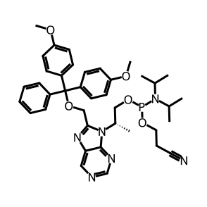 COc1ccc(C(OCc2nc3cncnc3n2[C@@H](C)COP(OCCC#N)N(C(C)C)C(C)C)(c2ccccc2)c2ccc(OC)cc2)cc1